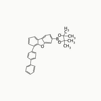 CC1(C)OB(c2ccc3c(c2)oc2c(-c4ccc(-c5ccccc5)cc4)cccc23)OC1(C)C